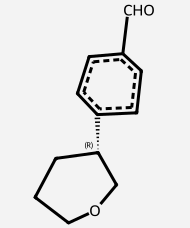 O=Cc1ccc([C@H]2CCCOC2)cc1